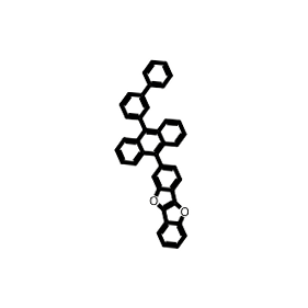 c1ccc(-c2cccc(-c3c4ccccc4c(-c4ccc5c(c4)oc4c6ccccc6oc54)c4ccccc34)c2)cc1